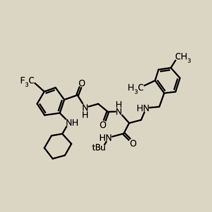 Cc1ccc(CNCC(NC(=O)CNC(=O)c2cc(C(F)(F)F)ccc2NC2CCCCC2)C(=O)NC(C)(C)C)c(C)c1